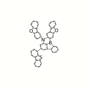 c1ccc2c(c1)B1c3cc4oc5ccccc5c4cc3N(c3ccc4oc5ccccc5c4c3)c3cc(-c4cccc5c4sc4ccccc45)cc-2c31